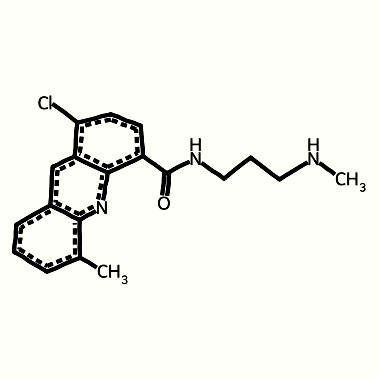 CNCCCNC(=O)c1ccc(Cl)c2cc3cccc(C)c3nc12